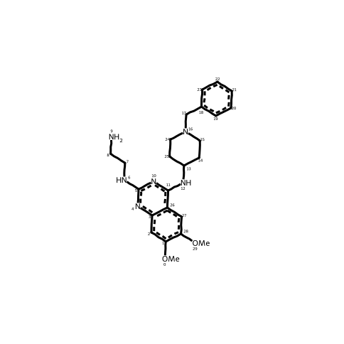 COc1cc2nc(NCCN)nc(NC3CCN(Cc4ccccc4)CC3)c2cc1OC